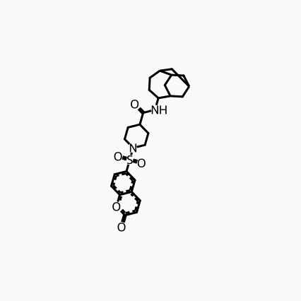 O=C(NC1CCC2CC3CC2CC1C3)C1CCN(S(=O)(=O)c2ccc3oc(=O)ccc3c2)CC1